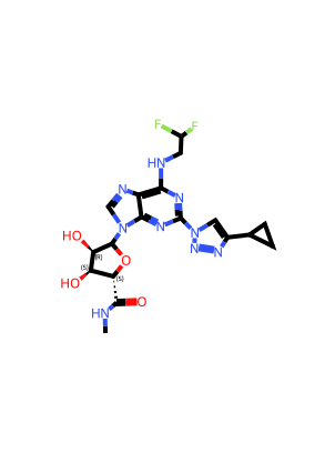 CNC(=O)[C@H]1OC(n2cnc3c(NCC(F)F)nc(-n4cc(C5CC5)nn4)nc32)[C@H](O)[C@@H]1O